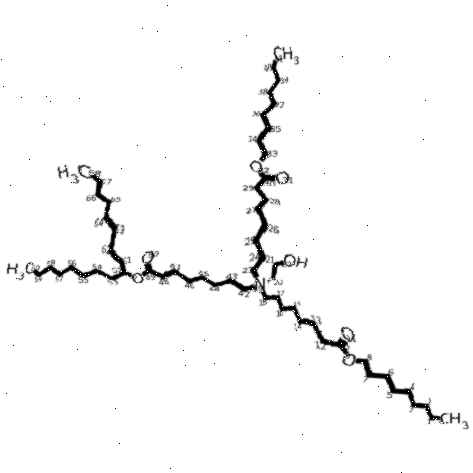 CCCCCCCCCOC(=O)CCCCCCC[N+](CCO)(CCCCCCCC(=O)OCCCCCCCCC)CCCCCCCC(=O)OC(CCCCCCCC)CCCCCCCC